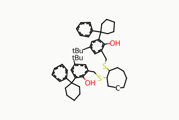 CC(C)(C)c1cc(CS[C@H]2CCCCCC[C@@H]2SCc2cc(C(C)(C)C)cc(C3(c4ccccc4)CCCCC3)c2O)c(O)c(C2(c3ccccc3)CCCCC2)c1